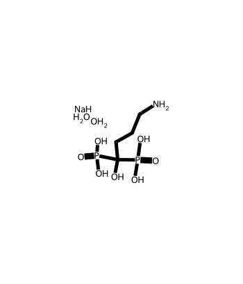 NCCCC(O)(P(=O)(O)O)P(=O)(O)O.O.O.[NaH]